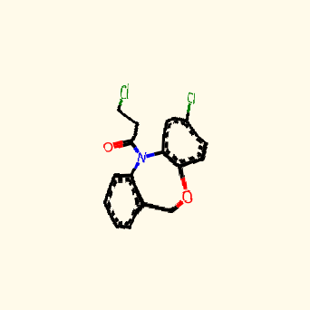 O=C(CCCl)N1c2ccccc2COc2ccc(Cl)cc21